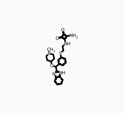 CN1CCC(OC(c2cccc(SCCNc3c(N)c(=O)c3=O)c2)c2nc3ccccc3[nH]2)CC1